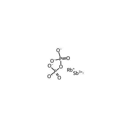 O=P([O-])([O-])OP(=O)([O-])[O-].[Rb+].[Sb+3]